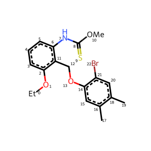 CCOc1cccc(NC(=S)OC)c1COc1cc(C)c(C)cc1Br